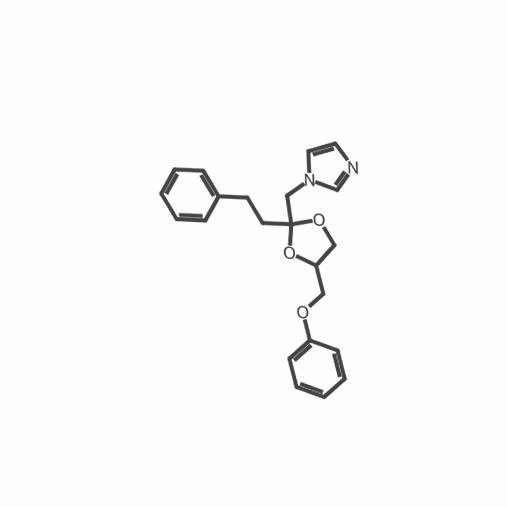 c1ccc(CCC2(Cn3ccnc3)OCC(COc3ccccc3)O2)cc1